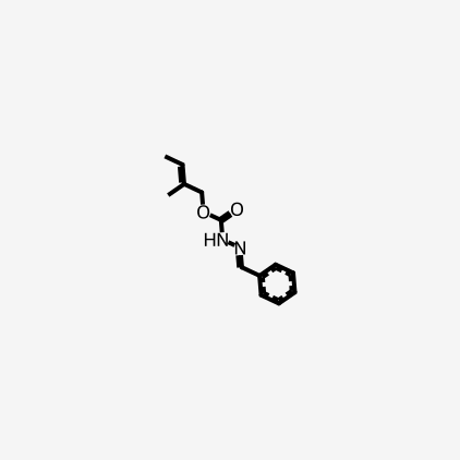 C/C=C(\C)COC(=O)N/N=C/c1ccccc1